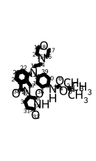 CC(C)(C)OC(=O)NC1CCC(N(CCN2CCOCC2)c2cccc3c2CN(C2CCC(=O)NC2=O)C3=O)CC1